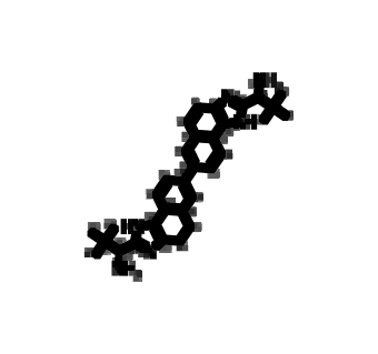 CC(C)(C)C(N)c1nc2ccc3cc(-c4ccc5c(c4)CCc4nc([C@@H](N)C(C)(C)C)[nH]c4-5)ccc3c2[nH]1